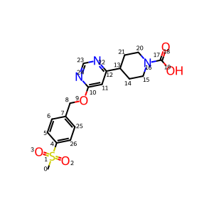 CS(=O)(=O)c1ccc(COc2cc(C3CCN(C(=O)O)CC3)ncn2)cc1